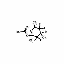 CCC(C)C(=O)OC1(C(F)(F)F)OC(C(F)(F)F)C(F)(F)C(O)(CC)C1(F)F